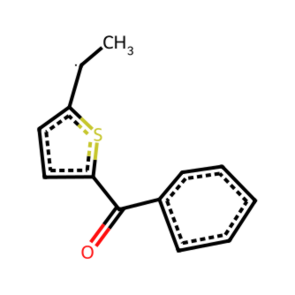 C[CH]c1ccc(C(=O)c2ccccc2)s1